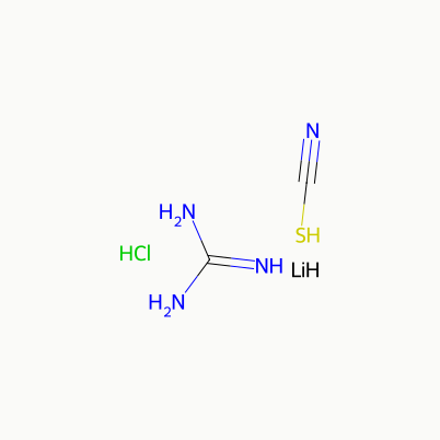 Cl.N#CS.N=C(N)N.[LiH]